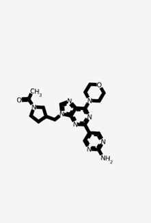 CC(=O)N1CCC(Cn2cnc3c(N4CCOCC4)nc(-c4cnc(N)nc4)nc32)C1